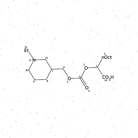 CCCCCCCCC(OC(=O)OCC1CCCN(CC)C1)C(=O)O